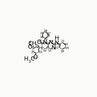 COc1cc(OC)cc(C2Cc3cnc(Nc4ccccc4)nc3N(c3ccccc3)C2=O)c1